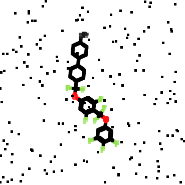 CCCC1CCC(C2CCC(C(F)(F)Oc3cc(F)c(C(F)(F)Oc4cc(F)c(F)c(F)c4)c(F)c3)CC2)CC1